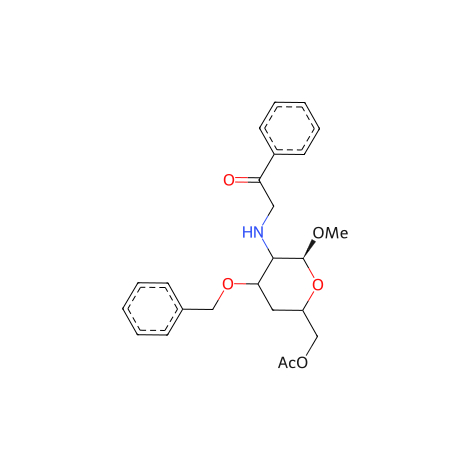 CO[C@H]1OC(COC(C)=O)CC(OCc2ccccc2)C1NCC(=O)c1ccccc1